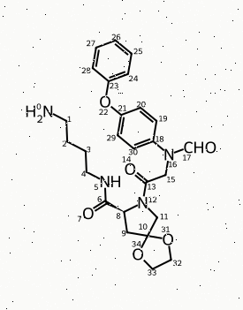 NCCCCNC(=O)[C@@H]1CC2(CN1C(=O)CN(C=O)c1ccc(Oc3ccccc3)cc1)OCCO2